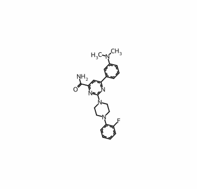 CN(C)c1cccc(-c2cc(C(N)=O)nc(N3CCN(c4ccccc4F)CC3)n2)c1